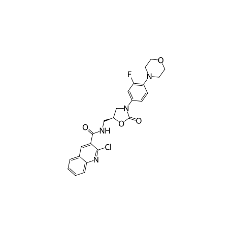 O=C(NC[C@H]1CN(c2ccc(N3CCOCC3)c(F)c2)C(=O)O1)c1cc2ccccc2nc1Cl